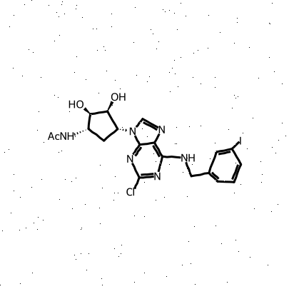 CC(=O)N[C@H]1C[C@@H](n2cnc3c(NCc4cccc(I)c4)nc(Cl)nc32)[C@H](O)[C@@H]1O